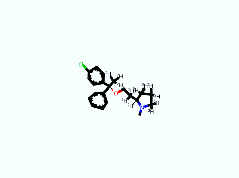 [2H]C1([2H])N(C)[C@@]([2H])(C([2H])([2H])CO[C@](c2ccccc2)(c2ccc(Cl)cc2)C([2H])([2H])[2H])C([2H])([2H])C1([2H])[2H]